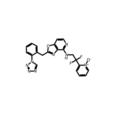 [O-][n+]1ccccc1C(F)(F)CNc1nccc2oc(Cc3ccccc3-n3cnnn3)nc12